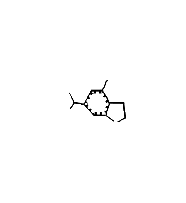 Cc1cc(C(C)C)cc2c1CCN2